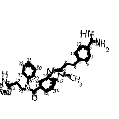 Cn1c(CCc2ccc(C(=N)N)cc2)nc2cc(C(=O)N(CCc3nnn[nH]3)c3ccccc3)ccc21